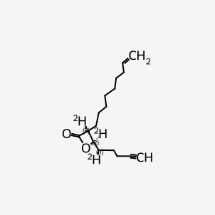 [2H][C@H](CCC#C)[C@@]1([2H])OC(=O)[C@]1([2H])CCCCCCCC=C